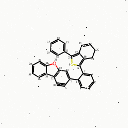 c1c(-c2ccccc2-c2sc(-c3ccccc3)c3c2CCC=C3)cc2oc3ccccc3c2c#1